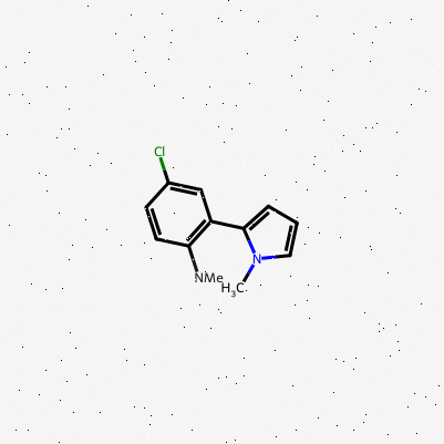 CNc1ccc(Cl)cc1-c1cccn1C